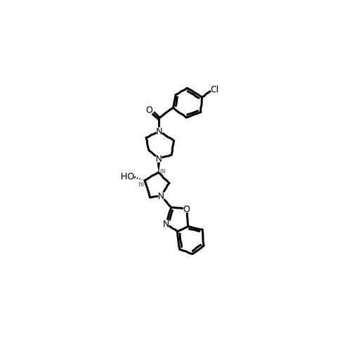 O=C(c1ccc(Cl)cc1)N1CCN([C@H]2CN(c3nc4ccccc4o3)C[C@@H]2O)CC1